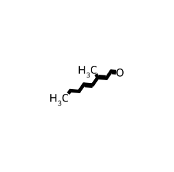 CCC/C=C/C(C)=C/C=O